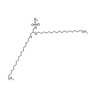 CCCCCCCCCCCCCCCCCCOCC(COS(C)(=O)=O)OCCCCCCCCCCCCCCCCCC